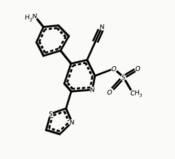 CS(=O)(=O)Oc1nc(-c2nccs2)cc(-c2ccc(N)cc2)c1C#N